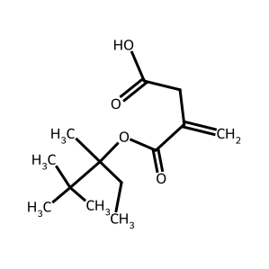 C=C(CC(=O)O)C(=O)OC(C)(CC)C(C)(C)C